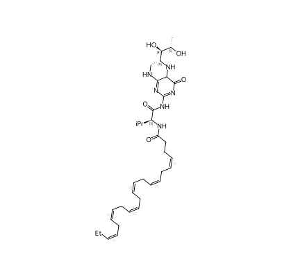 CC/C=C\C/C=C\C/C=C\C/C=C\C/C=C\C/C=C\CCC(=O)N[C@H](C(=O)NC1=NC(=O)C2N[C@@H]([C@@H](O)[C@H](C)O)CNC2=N1)C(C)C